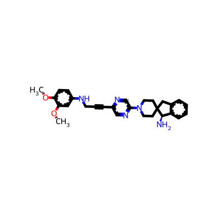 COc1ccc(NCC#Cc2cnc(N3CCC4(CC3)Cc3ccccc3[C@H]4N)[c]n2)cc1OC